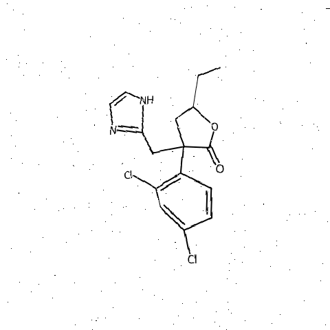 CCC1CC(Cc2ncc[nH]2)(c2ccc(Cl)cc2Cl)C(=O)O1